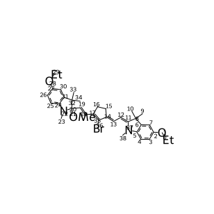 CCOc1ccc2c(c1)C(C)(C)/C(=C/C=C1\CCC(/C=C/C3(OC)N(C)c4ccc(OCC)cc4C3(C)C)=C1Br)N2C